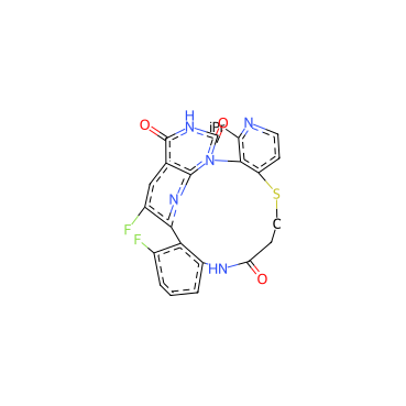 CC(C)c1nccc2c1-n1c(=O)[nH]c(=O)c3cc(F)c(nc31)-c1c(F)cccc1NC(=O)CCS2